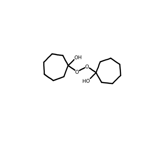 OC1(OOC2(O)CCCCCC2)CCCCCC1